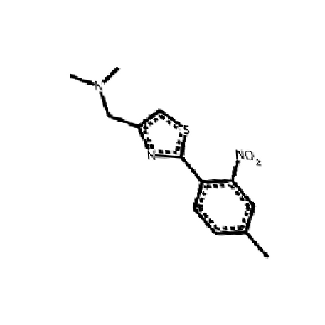 Cc1ccc(-c2nc(CN(C)C)cs2)c([N+](=O)[O-])c1